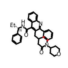 CC[C@H](NC(=O)c1c(CC2CCN(C3CCOCC3)C(=O)C2)c(-c2ccccc2)nc2ccccc12)c1ccccc1